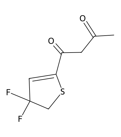 CC(=O)CC(=O)C1=CC(F)(F)CS1